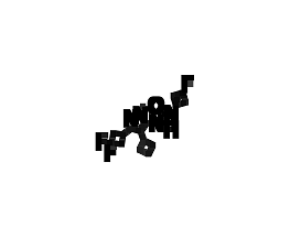 Cn1nc(C2CC(F)(F)C2)c(C2CCC2)c1NC(=O)NC12CC(F)(C1)C2